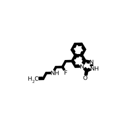 C=CCNCC(F)Cc1cn2c(=O)[nH]nc2c2ccccc12